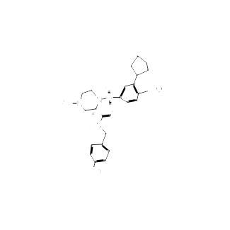 COc1ccc(S(=O)(=O)N2CCN(C(C)=O)C[C@@H]2C(=O)NCc2ccc(C(C)C)cc2)cc1C1CCCC1